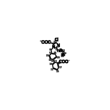 CCCCc1nc(Cl)c(C(=O)[O-])n1Cc1ccc(-c2ccccc2C(=O)[O-])cc1.[K+].[K+]